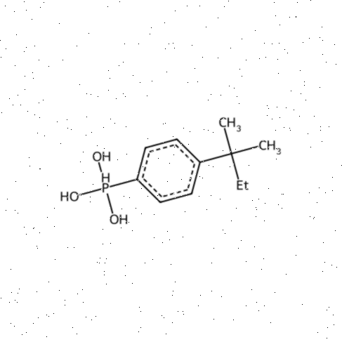 CCC(C)(C)c1ccc([PH](O)(O)O)cc1